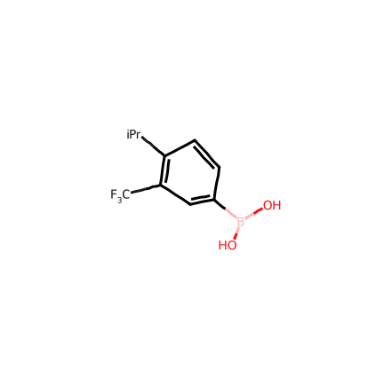 CC(C)c1ccc(B(O)O)cc1C(F)(F)F